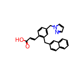 O=C(O)/C=C/c1ccc(Cn2cccn2)cc1Cc1ccc2ccccc2c1